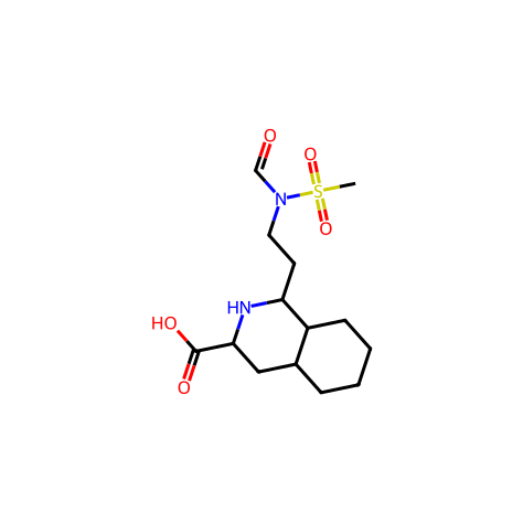 CS(=O)(=O)N(C=O)CCC1NC(C(=O)O)CC2CCCCC21